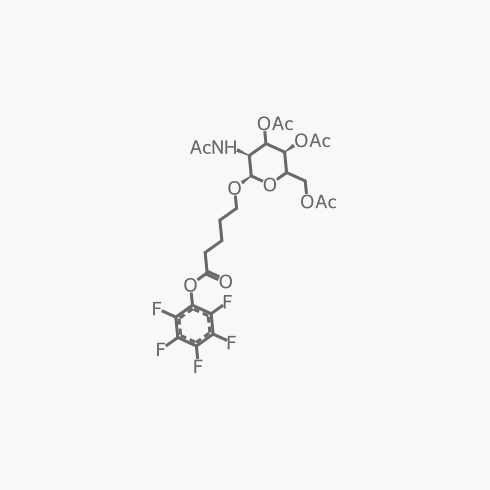 CC(=O)N[C@H]1C(OC(C)=O)[C@@H](OC(C)=O)C(COC(C)=O)O[C@H]1OCCCCC(=O)Oc1c(F)c(F)c(F)c(F)c1F